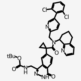 CC(C)(C)OC(=O)NCc1n[nH]c(=O)c2ccc(C3(C(=O)N(Cc4ccc(-c5c(Cl)cccc5Cl)cn4)C4CCCc5cccnc54)CC3)cc12